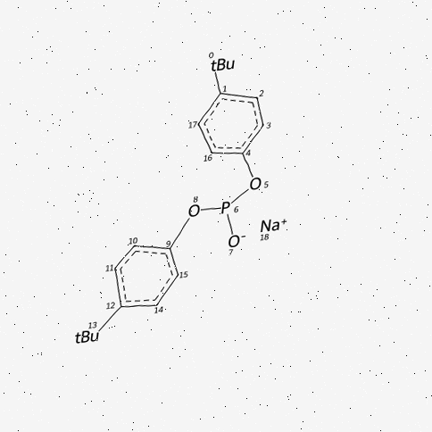 CC(C)(C)c1ccc(OP([O-])Oc2ccc(C(C)(C)C)cc2)cc1.[Na+]